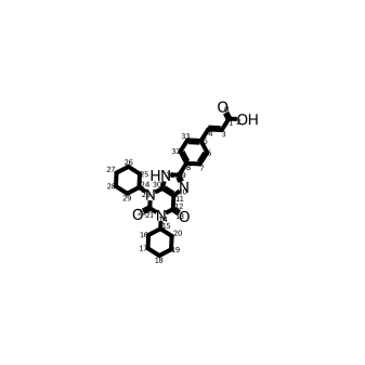 O=C(O)/C=C/c1ccc(-c2nc3c(=O)n(C4CCCCC4)c(=O)n(C4CCCCC4)c3[nH]2)cc1